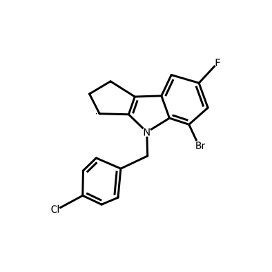 Fc1cc(Br)c2c(c1)c1c(n2Cc2ccc(Cl)cc2)[CH]CC1